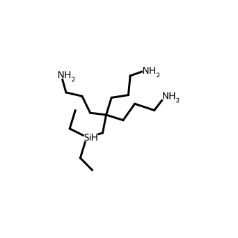 CC[SiH](CC)CC(CCCN)(CCCN)CCCN